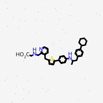 CC(Cc1ccc(C2CCCCC2)cc1)Nc1ccc(-c2ccc(Cc3cccnc3CNCC(=O)O)s2)cc1